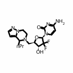 CCCC1c2ccnn2CCN1C[C@H]1O[C@@H](n2ccc(N)nc2=O)C(F)(F)[C@@H]1O